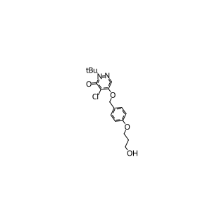 CC(C)(C)n1ncc(OCc2ccc(OCCCO)cc2)c(Cl)c1=O